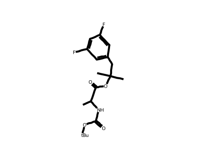 CC(NC(=O)OC(C)(C)C)C(=O)OC(C)(C)Cc1cc(F)cc(F)c1